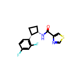 O=C(N[C@H]1CC[C@H]1c1ccc(F)cc1F)c1cscn1